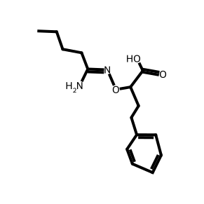 CCCCC(N)=NOC(CCc1ccccc1)C(=O)O